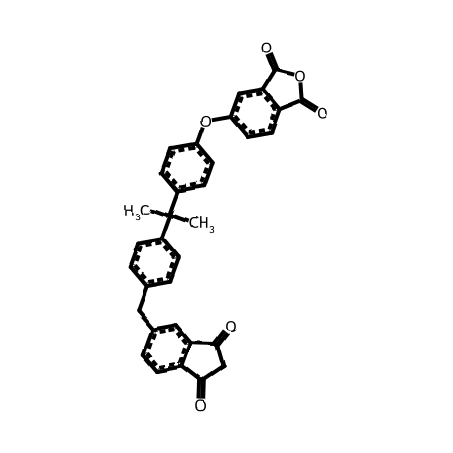 CC(C)(c1ccc(Cc2ccc3c(c2)C(=O)CC3=O)cc1)c1ccc(Oc2ccc3c(c2)C(=O)OC3=O)cc1